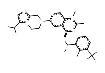 Cc1c([C@@H](C)/N=c2\nc(C)n(C)c3cnc(N4CCn5c(C(F)F)cnc5C4)cc23)cccc1C(F)(F)F